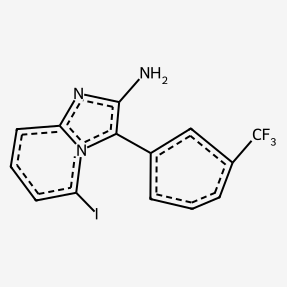 Nc1nc2cccc(I)n2c1-c1cccc(C(F)(F)F)c1